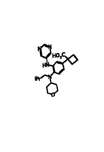 CC(C)CN(c1ccc(C2(C(=O)O)CCC2)cc1Nc1cncnc1)C1CCOCC1